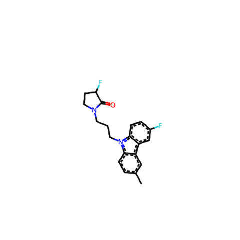 Cc1ccc2c(c1)c1cc(F)ccc1n2CCCN1CCC(F)C1=O